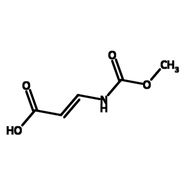 COC(=O)NC=CC(=O)O